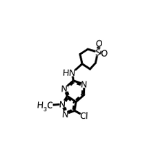 Cn1nc(Cl)c2cnc(NC3CCS(=O)(=O)CC3)nc21